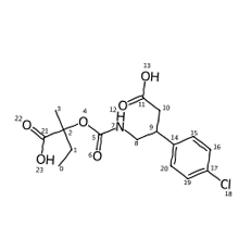 CCC(C)(OC(=O)NCC(CC(=O)O)c1ccc(Cl)cc1)C(=O)O